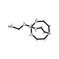 OCO[Si]12OCCN(CCO1)CCO2